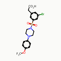 O=C(O)Cc1cc(Br)cc(S(=O)(=O)N2CCN(c3ccc(OC(F)(F)F)cc3)CC2)c1